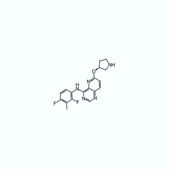 Cc1c(F)ccc(Nc2ncnc3ccc(O[C@H]4CCNC4)nc23)c1F